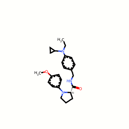 CCN(c1ccc(CNC(=O)[C@@H]2CCCN2c2ccc(OC)cc2)cc1)C1CC1